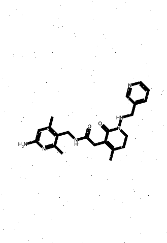 CC1=C(CC(=O)NCc2c(C)cc(N)nc2C)C(=O)N(NCc2cccnc2)CC1